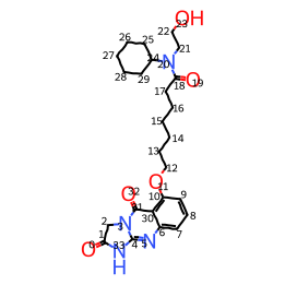 O=C1Cn2c(nc3cccc(OCCCCCCC(=O)N(CCO)C4CCCCC4)c3c2=O)N1